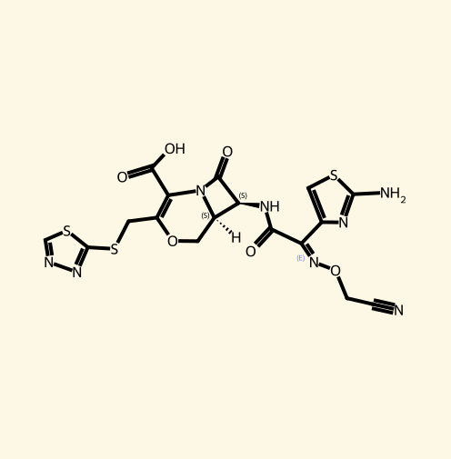 N#CCO/N=C(/C(=O)N[C@@H]1C(=O)N2C(C(=O)O)=C(CSc3nncs3)OC[C@H]12)c1csc(N)n1